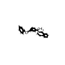 CC(c1ccc(OCc2ccccc2)cc1)N1CCc2ccccc2C1